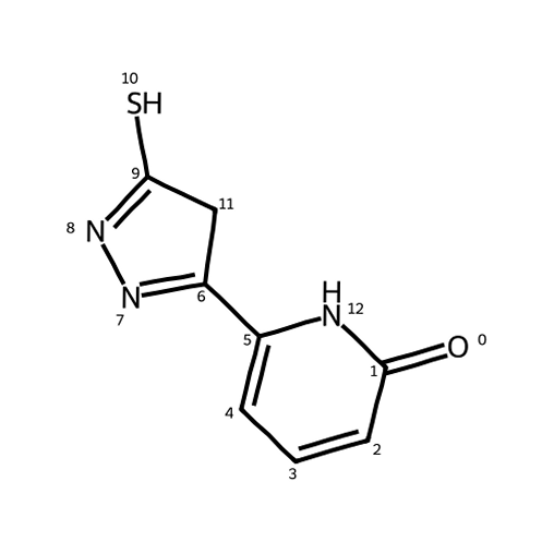 O=c1cccc(C2=NN=C(S)C2)[nH]1